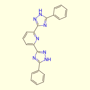 c1ccc(-c2nc(-c3cccc(-c4n[nH]c(-c5ccccc5)n4)n3)n[nH]2)cc1